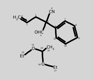 C=CCC(C#N)(C=O)c1ccccc1.CCOC(C)OCC